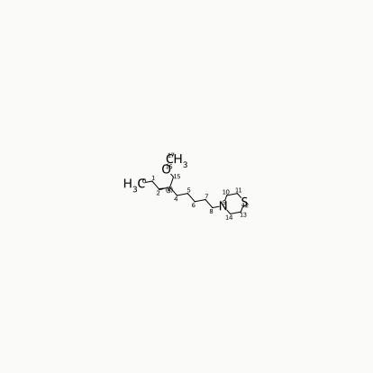 CCC[C@H](CCCCCN1CCSCC1)COC